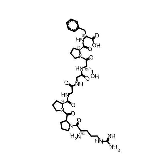 N=C(N)NCCC[C@H](N)C(=O)N1CCCC1C(=O)N1CCC[C@H]1C(=O)NCC(=O)NCC(=O)N[C@@H](CO)C(=O)N1CCC[C@H]1C(=O)N[C@@H](Cc1ccccc1)C(=O)O